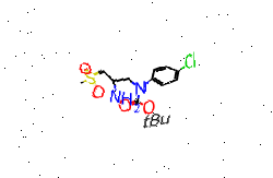 CC(C)(C)OC(=O)N(CC(N)CS(C)(=O)=O)c1ccc(Cl)cc1